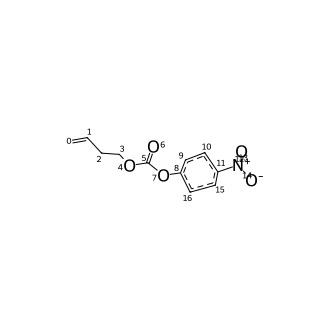 C=CCCOC(=O)Oc1ccc([N+](=O)[O-])cc1